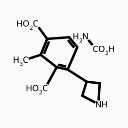 Cc1c(C(=O)O)ccc(C2CNC2)c1C(=O)O.NC(=O)O